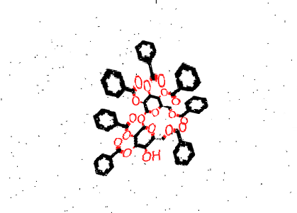 O=C(OC[C@H]1O[C@H](O[C@@H]2O[C@H](COC(=O)c3ccccc3)[C@@H](OC(=O)c3ccccc3)[C@H](OC(=O)c3ccccc3)[C@H]2OC(=O)c2ccccc2)[C@H](OC(=O)c2ccccc2)[C@@H](OC(=O)c2ccccc2)[C@@H]1O)c1ccccc1